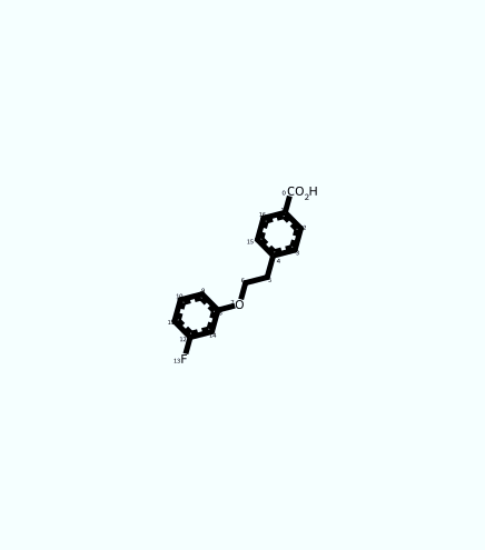 O=C(O)c1ccc(CCOc2cccc(F)c2)cc1